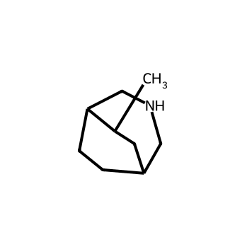 CC1CC2CCC1CNC2